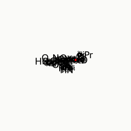 CC(C)c1ccccc1[C@H]1COCCN1C1CC2(CCN(c3ccc(C(=O)NS(=O)(=O)c4cc5c(c([N+](=O)[O-])c4)O[C@H]([C@H]4CC[C@](C)(O)CC4)CO5)c(Oc4cc5cc[nH]c5nc4OC(F)F)c3)CC2)C1